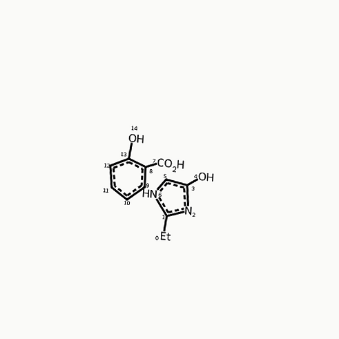 CCc1nc(O)c[nH]1.O=C(O)c1ccccc1O